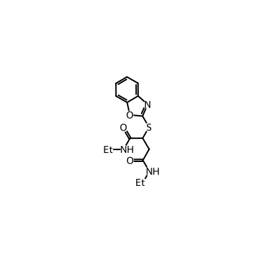 CCNC(=O)CC(Sc1nc2ccccc2o1)C(=O)NCC